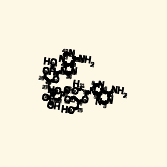 Nc1ncnc2c1ncn2[C@@H](CO)O[C@@H](CO)COP(=O)(O)CP(=O)(O)OC[C@H](CO)O[C@H](CO)n1cnc2c(N)ncnc21